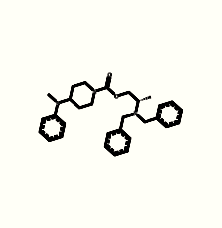 C[C@@H](COC(=O)N1CCC(N(C)c2ccccc2)CC1)N(Cc1ccccc1)Cc1ccccc1